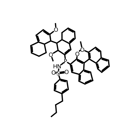 CCCCc1ccc(S(=O)(=O)NP(C2=CC3=CC=CCC3C(C3C(OC)=CC=C4C=CCCC43)C2OC)c2cc3ccccc3c(-c3c(OC)ccc4ccccc34)c2OC)cc1